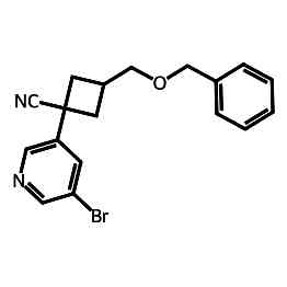 N#CC1(c2cncc(Br)c2)CC(COCc2ccccc2)C1